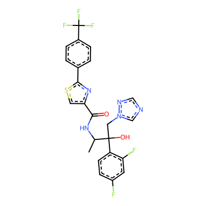 CC(NC(=O)c1csc(-c2ccc(C(F)(F)F)cc2)n1)C(O)(Cn1cncn1)c1ccc(F)cc1F